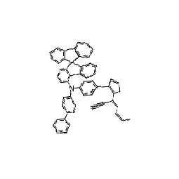 C#C/C(=C\C=C/C)C1=C(c2ccc(N(c3ccc(-c4ccccc4)cc3)c3cccc4c3-c3ccccc3C43c4ccccc4-c4ccccc43)cc2)C=CC1